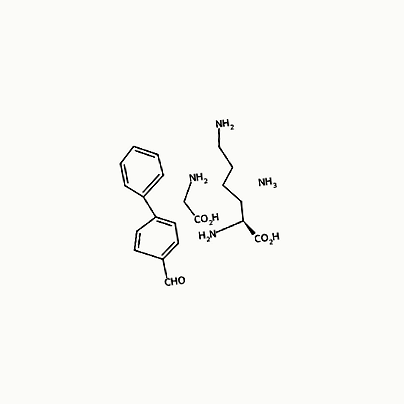 N.NCC(=O)O.NCCCC[C@H](N)C(=O)O.O=Cc1ccc(-c2ccccc2)cc1